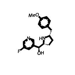 COc1ccc(C[C@@H]2CC[C@H]([C@@H](O)c3cncc(F)c3)N2)cc1